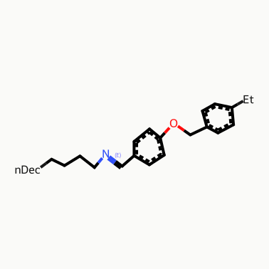 CCCCCCCCCCCCCC/N=C/c1ccc(OCc2ccc(CC)cc2)cc1